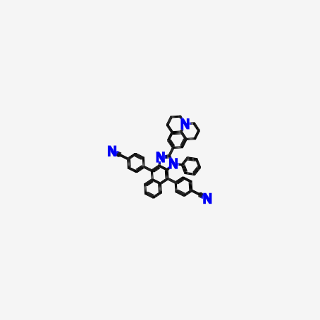 N#Cc1ccc(-c2c3ccccc3c(-c3ccc(C#N)cc3)c3c2nc(-c2cc4c5c(c2)CCCN5CCC4)n3-c2ccccc2)cc1